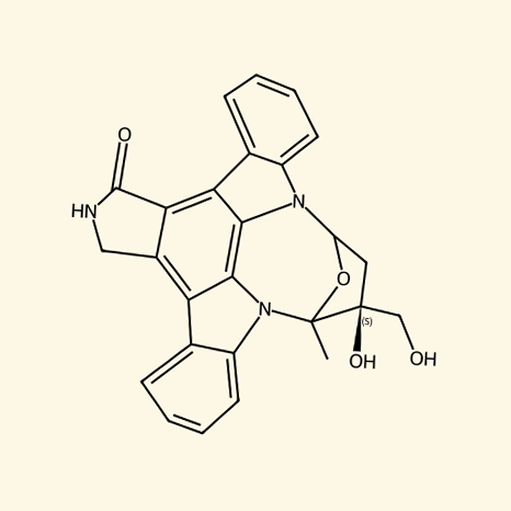 CC12OC(C[C@]1(O)CO)n1c3ccccc3c3c4c(c5c6ccccc6n2c5c31)CNC4=O